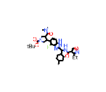 CCc1nocc1C(=O)NC(c1nc2c(F)c(C3CN(C(=O)OC(C)(C)C)CC3C(=O)N(C)C)ccc2[nH]1)C1CCC(C)CC1